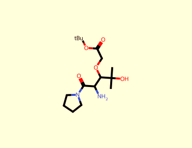 CC(C)(C)OC(=O)COC(C(N)C(=O)N1CCCC1)C(C)(C)O